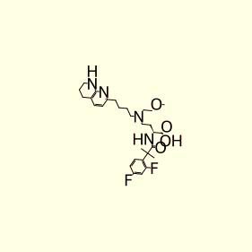 COCCN(CCCCc1ccc2c(n1)NCCC2)CC[C@H](NC(=O)C(C)(C)c1ccc(F)cc1F)C(=O)O